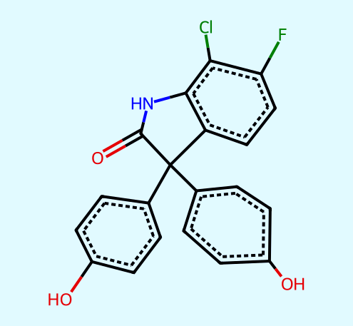 O=C1Nc2c(ccc(F)c2Cl)C1(c1ccc(O)cc1)c1ccc(O)cc1